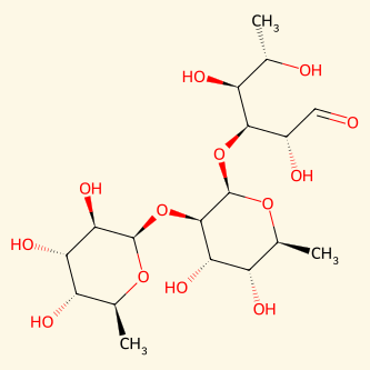 C[C@H](O)[C@H](O)[C@H](O[C@H]1O[C@@H](C)[C@H](O)[C@H](O)[C@H]1O[C@H]1O[C@@H](C)[C@H](O)[C@H](O)[C@H]1O)[C@@H](O)C=O